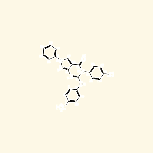 Cc1ccc(Oc2nc3nn(-c4ccccc4)cc3c(=O)n2-c2ccc(Cl)cc2)cc1